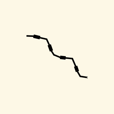 CC#CCC#CCC#CCC#CCI